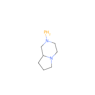 PN1CCN2CCCC2C1